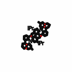 Cc1cccc(N(c2c(C)cccc2-c2ccccc2)c2cc(C(C)C)c3ccc4c(N(c5cccc(C)c5)c5c(C)cccc5-c5ccccc5)cc(C(C)C)c5ccc2c3c54)c1